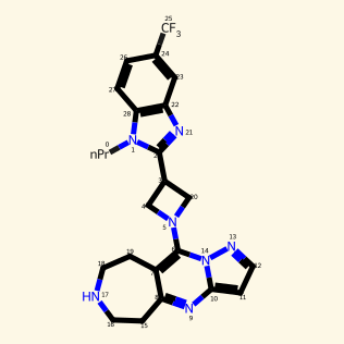 CCCn1c(C2CN(c3c4c(nc5ccnn35)CCNCC4)C2)nc2cc(C(F)(F)F)ccc21